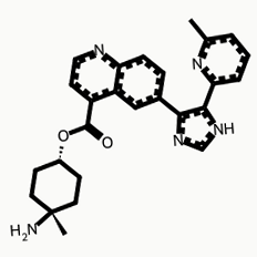 Cc1cccc(-c2[nH]cnc2-c2ccc3nccc(C(=O)O[C@H]4CC[C@@](C)(N)CC4)c3c2)n1